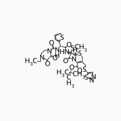 CCN1CCN(C(=O)NC(C(=O)N[C@]2(SC)C(=O)N3C(C(=O)OC(C)(C)C)=C(CSc4cnns4)CS[C@H]32)c2cccs2)C(=O)C1=O